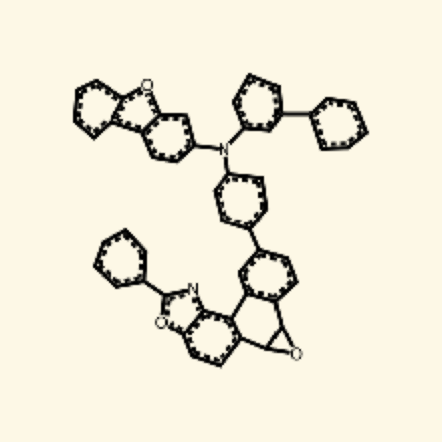 c1ccc(-c2cccc(N(c3ccc(-c4ccc5c(c4)-c4c(ccc6oc(-c7ccccc7)nc46)C4OC54)cc3)c3ccc4c(c3)oc3ccccc34)c2)cc1